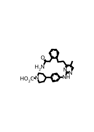 Cc1cnc(Nc2ccc(C3CCN(C(=O)O)CC3)cc2)nc1CCc1ccccc1CC(N)=O